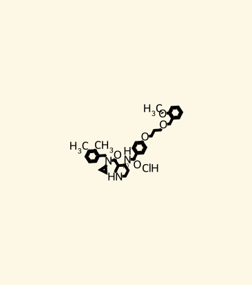 COc1ccccc1COCCCOc1ccc(C(=O)N[C@H]2CCNCC2C(=O)N(Cc2cccc(C)c2C)C2CC2)cc1.Cl